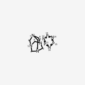 C1N2CN3CN1CN(C2)C3.n1pnpnp1